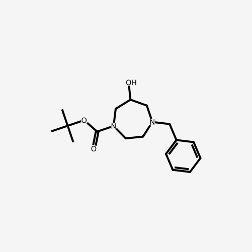 CC(C)(C)OC(=O)N1CCN(Cc2ccccc2)CC(O)C1